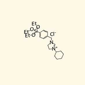 CCO[Si](OCC)(OCC)c1ccc(CN2C=[N+](C3CCCCC3)CC2)cc1.[Cl-]